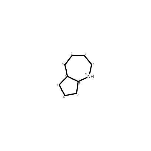 [CH]1CCCC2CCCC2N1